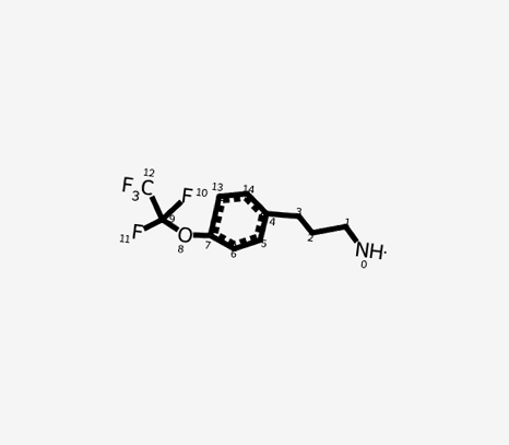 [NH]CCCc1ccc(OC(F)(F)C(F)(F)F)cc1